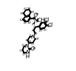 CN(C[C@@H](CCN1CCC(N2CCCNC2=O)CC1)c1ccc(Cl)c(Cl)c1)C(=O)c1cccc2c1CCCC2